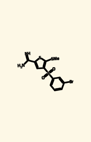 CSc1sc(C(=N)N)cc1S(=O)(=O)c1cccc(Br)c1